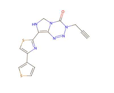 C#CCN1N=NC2=C(c3nc(-c4ccsc4)cs3)NCN2C1=O